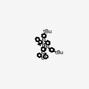 CCc1ccccc1N(c1ccc2c(c1)N(c1ccc(C(C)(C)C)cc1)c1cccc3c1B2C1=C(c2ccccc2C1(C)C)N3c1ccc(C(C)(C)C)cc1)C1(C)CCCCC1